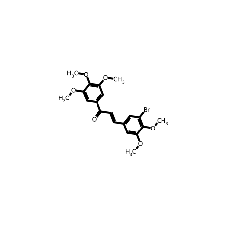 COc1cc(C=CC(=O)c2cc(OC)c(OC)c(OC)c2)cc(Br)c1OC